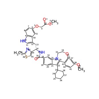 COC(=O)COc1ccc2[nH]cc(C[C@H](NC(=O)c3ccc4c(C5CCCCC5)c5n(c4c3)CCOc3cc(OC)ccc3-5)c3csc(C)n3)c2c1